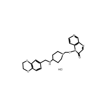 Cl.O=c1cnc2cnccc2n1CCN1CCC(NCc2ccc3c(c2)OCCO3)CC1